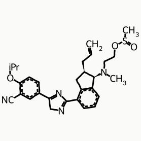 C=CC[C@@H]1Cc2c(C3=NCC(c4ccc(OC(C)C)c(C#N)c4)=N3)cccc2[C@@H]1N(C)CCOS(C)=O